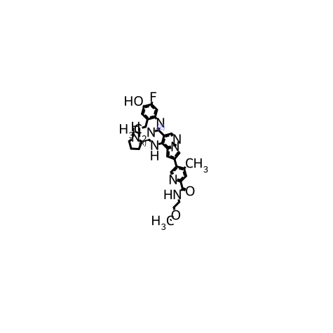 CCc1cc(O)c(F)cc1/N=C(\N)c1cnn2cc(-c3cnc(C(=O)NCCOC)cc3C)cc2c1NC[C@H]1CCCN1